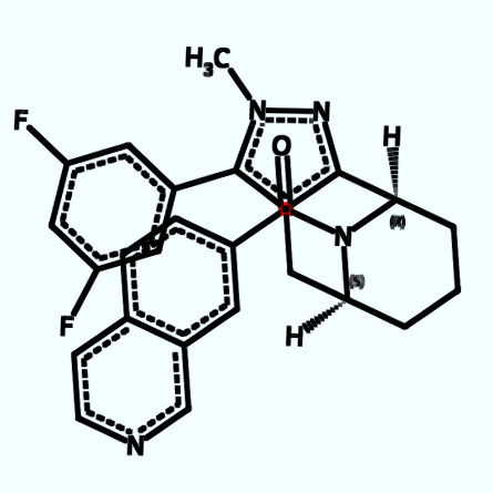 Cn1nc2c(c1-c1cc(F)cc(F)c1)C[C@@H]1CCC[C@H]2N1C(=O)c1ccc2ccncc2c1